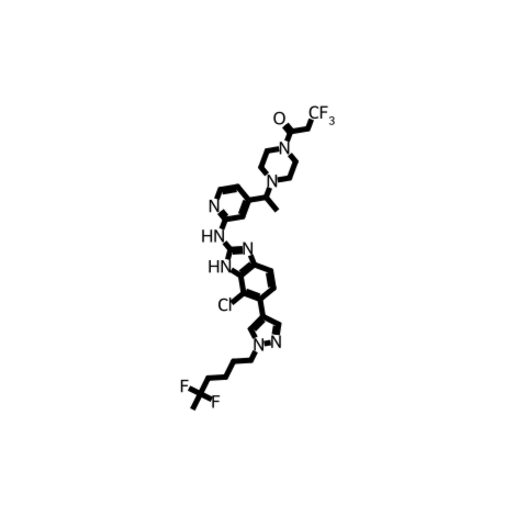 CC(c1ccnc(Nc2nc3ccc(-c4cnn(CCCCC(C)(F)F)c4)c(Cl)c3[nH]2)c1)N1CCN(C(=O)CC(F)(F)F)CC1